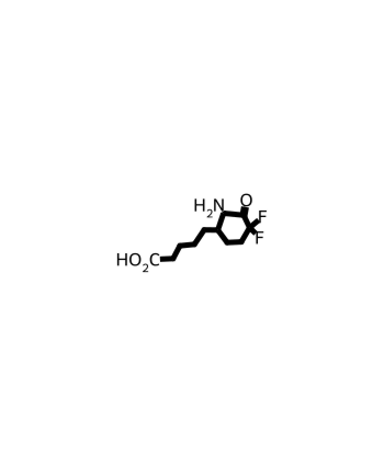 NC1C(=O)C(F)(F)CCC1CCCCC(=O)O